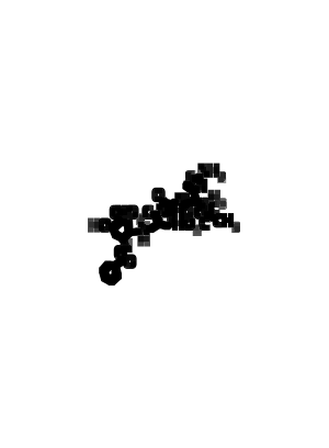 CC(C)(O/N=C(\C(=O)NC1C(=O)N2C(C(=O)O)=C(CNCC3=CC(O)=C(O)CC3=NOC(=O)c3ccccc3)CS[C@@H]12)c1csc(N)n1)C(=O)O